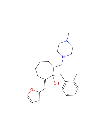 Cc1ccccc1CC1(O)C(=Cc2ccco2)CCCCC1CN1CCN(C)CC1